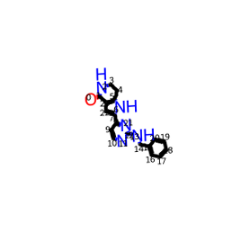 O=C1NCCc2[nH]c(-c3ccnc(NCc4ccccc4)n3)cc21